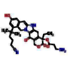 CCC1(OC(=O)CCN)C(=O)OCC2=C1CC1=C(C2=O)N2Cc3c(cc(O)cc3[Si](C)(C)CCCC#N)C=C2N1